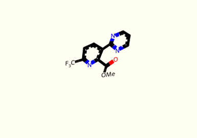 COC(=O)c1nc(C(F)(F)F)ccc1-c1ncccn1